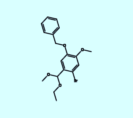 CCOC(OC)c1cc(OCc2ccccc2)c(OC)cc1Br